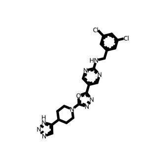 Clc1cc(Cl)cc(CNc2ncc(-c3nnc(N4CCC(c5cnn[nH]5)CC4)o3)cn2)c1